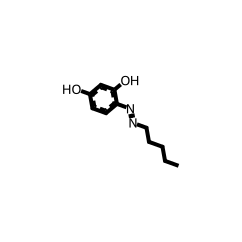 CCCCCN=Nc1ccc(O)cc1O